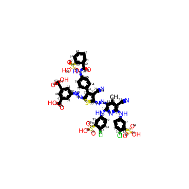 Cc1c(C#N)c(Nc2ccc(Cl)c(S(=O)(=O)O)c2)nc(Nc2ccc(Cl)c(S(=O)(=O)O)c2)c1N=Nc1sc(N=Nc2cc(C(=O)O)cc(C(=O)O)c2)c(-c2ccc(NC(=O)c3ccccc3S(=O)(=O)O)cc2)c1C#N